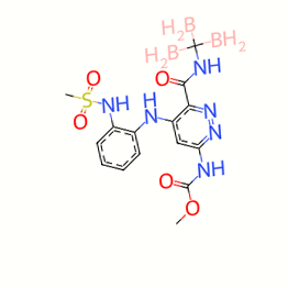 BC(B)(B)NC(=O)c1nnc(NC(=O)OC)cc1Nc1ccccc1NS(C)(=O)=O